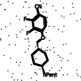 CCCCC[C@H]1CC[C@H](COc2ccc(C#N)c(F)c2F)CC1